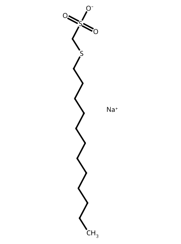 CCCCCCCCCCCCSCS(=O)(=O)[O-].[Na+]